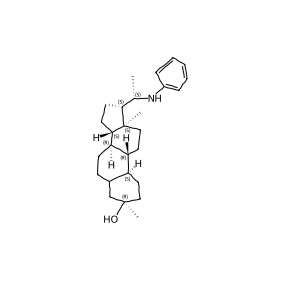 C[C@H](Nc1ccccc1)[C@H]1CC[C@H]2[C@@H]3CCC4C[C@](C)(O)CC[C@@H]4[C@H]3CC[C@]12C